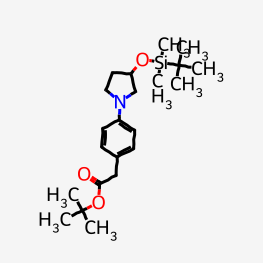 CC(C)(C)OC(=O)Cc1ccc(N2CCC(O[Si](C)(C)C(C)(C)C)C2)cc1